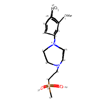 COc1cc(N2CCN(CCS(C)(=O)=O)CC2)ccc1[N+](=O)[O-]